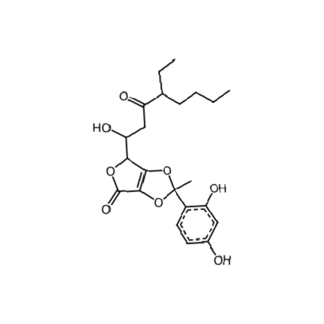 CCCCC(CC)C(=O)CC(O)C1OC(=O)C2=C1OC(C)(c1ccc(O)cc1O)O2